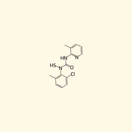 Cc1cccnc1NC(=O)N(S)c1c(C)cccc1Cl